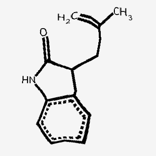 C=C(C)CC1C(=O)Nc2ccccc21